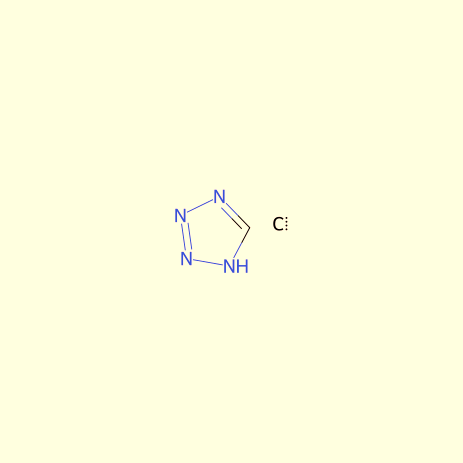 [C].c1nnn[nH]1